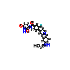 O=C1CCC(N2Cc3cc(C4CCN(C[C@H]5CC[C@H](NC(=O)O)CC5)CC4)c(F)cc3C2=O)C(=O)N1